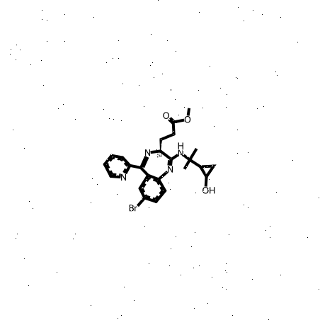 COC(=O)CC[C@@H]1N=C(c2ccccn2)c2cc(Br)ccc2N=C1NC(C)(C)C1CC1O